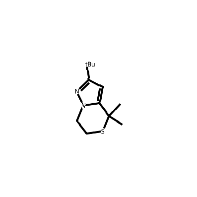 CC(C)(C)c1cc2n(n1)CCSC2(C)C